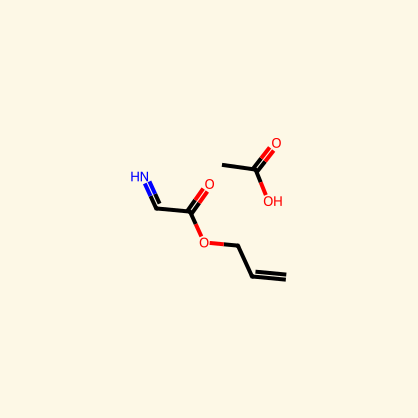 C=CCOC(=O)C=N.CC(=O)O